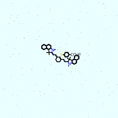 CN1/C(=C\C=C2/CCCC(/C=C/C3=[N+](C)c4ccc5ccccc5c4C3(C)C)=C2Sc2ccc(C(=O)O)cc2)C(C)(C)c2c1ccc1ccccc21